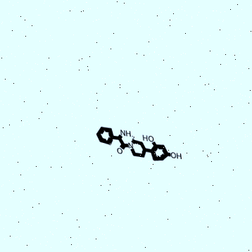 NC(C(=O)N1CCC(c2ccc(O)cc2O)CC1)c1ccccc1